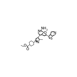 CCOC(=O)C1CCC(n2cc(-c3cnc(N)c4oc(-c5csc6cnccc56)cc34)c(C)n2)CC1